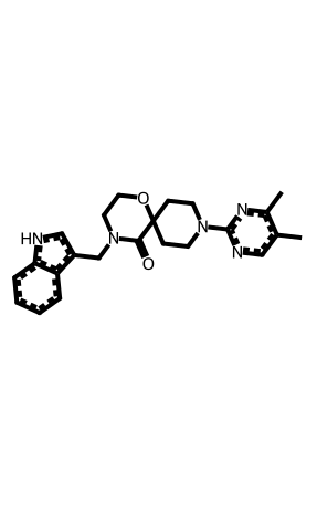 Cc1cnc(N2CCC3(CC2)OCCN(Cc2c[nH]c4ccccc24)C3=O)nc1C